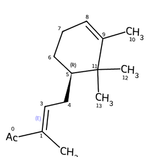 CC(=O)/C(C)=C/C[C@H]1CCC=C(C)C1(C)C